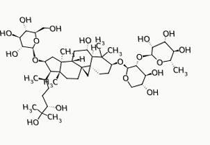 C[C@H](CC[C@H](O)C(C)(C)O)[C@H]1[C@@H](O[C@@H]2O[C@H](CO)[C@@H](O)[C@H](O)[C@H]2O)C[C@@]2(C)[C@@H]3C[C@H](O)[C@H]4C(C)(C)[C@@H](O[C@@H]5OC[C@@H](O)[C@H](O)[C@H]5O[C@@H]5O[C@@H](C)[C@H](O)[C@@H](O)[C@H]5O)CC[C@@]45C[C@@]35CC[C@]12C